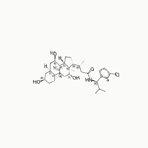 CC(C)[C@@H](NC(=O)C[C@@H](C)[C@H]1CC[C@H]2[C@@H]3[C@H](O)C[C@@H]4C[C@H](O)CC[C@]4(C)[C@H]3C[C@H](O)[C@]12C)c1ccc(Cl)s1